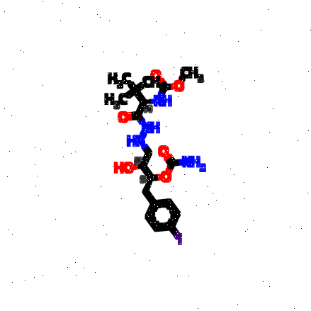 COC(=O)N[C@H](C(=O)NNC[C@H](O)[C@H](Cc1ccc(I)cc1)OC(N)=O)C(C)(C)C